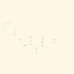 CCOC(=O)C(Oc1cc2c(c(Cl)c1Cl)C(=O)C(C)(c1ccccc1)C2)C(=O)OCC